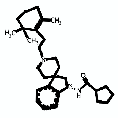 CC1=C(CCN2CCC3(CC2)C[C@H](NC(=O)C2CCCC2)c2ccccc23)C(C)(C)CCC1